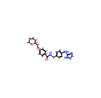 O=C(NCc1ccc(NC2=NCCN2)cc1)c1ccc(OCC2CCCCO2)cc1